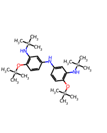 C[Si](C)(C)Nc1cc(Nc2ccc(O[Si](C)(C)C)c(N[Si](C)(C)C)c2)ccc1O[Si](C)(C)C